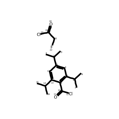 CC(C)c1cc(C(C)C)c(C(=O)Cl)c(C(C)C)c1.O=C(Cl)CF